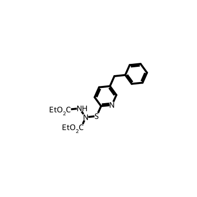 CCOC(=O)NN(Sc1ccc(Cc2ccccc2)cn1)C(=O)OCC